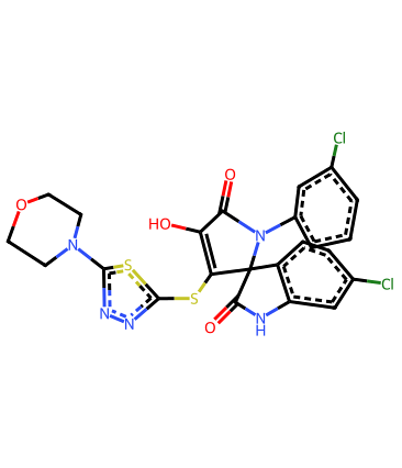 O=C1C(O)=C(Sc2nnc(N3CCOCC3)s2)C2(C(=O)Nc3cc(Cl)ccc32)N1c1cccc(Cl)c1